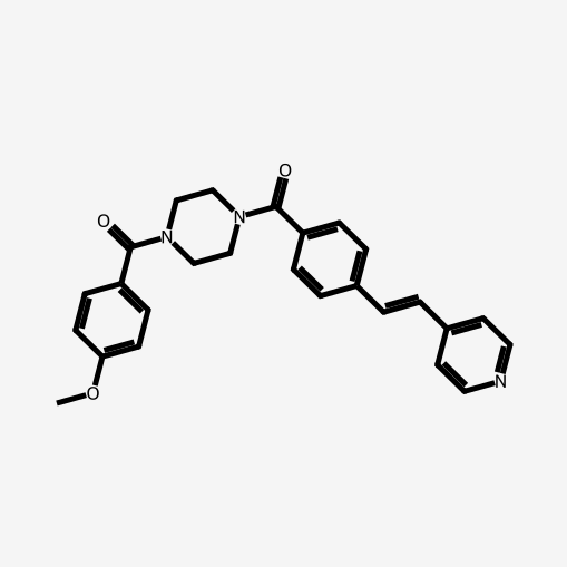 COc1ccc(C(=O)N2CCN(C(=O)c3ccc(/C=C/c4ccncc4)cc3)CC2)cc1